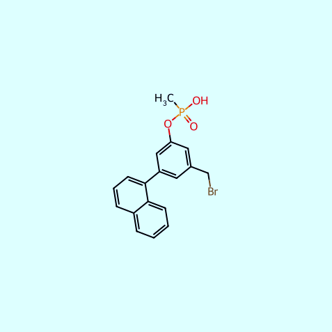 CP(=O)(O)Oc1cc(CBr)cc(-c2cccc3ccccc23)c1